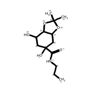 CCCNC(=O)C1(O)CC(O)C2OC(C)(C)OC2C1